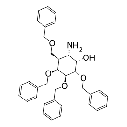 N[C@@H]1[C@H](O)[C@H](OCc2ccccc2)[C@@H](OCc2ccccc2)[C@@H](OCc2ccccc2)[C@H]1COCc1ccccc1